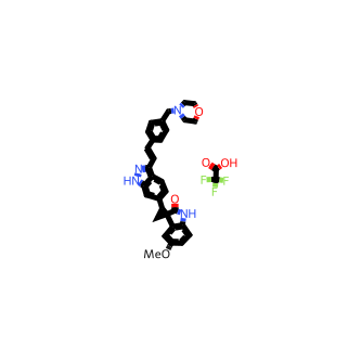 COc1ccc2c(c1)C1(CC1c1ccc3c(/C=C/c4ccc(CN5CCOCC5)cc4)n[nH]c3c1)C(=O)N2.O=C(O)C(F)(F)F